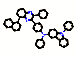 c1ccc(-c2nc3cccc(-c4cccc5ccccc45)c3nc2-c2ccc(N(c3ccccc3)c3ccc4c(c3)c3ccccc3n4-c3ccccc3)cc2)cc1